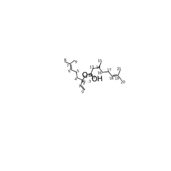 C=C[C@@](C)(CCC=C(C)C)O[C@H](O)CC(C)CCC=C(C)C